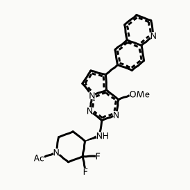 COc1nc(N[C@@H]2CCN(C(C)=O)CC2(F)F)nn2ccc(-c3ccc4ncccc4c3)c12